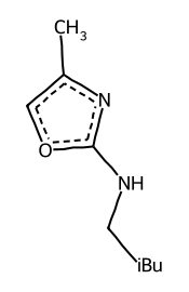 CCC(C)CNc1nc(C)co1